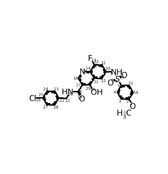 COc1ccc(S(=O)(=O)Nc2cc(F)c3ncc(C(=O)NCc4ccc(Cl)cc4)c(O)c3c2)cc1